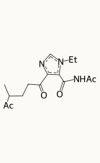 CCn1cnc(C(=O)CCC(C)C(C)=O)c1C(=O)NC(C)=O